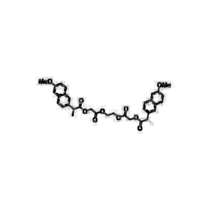 COc1ccc2cc([C@H](C)C(=O)OCC(=O)OCCOC(=O)COC(=O)[C@@H](C)c3ccc4cc(OC)ccc4c3)ccc2c1